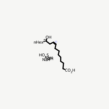 CCCCCC[C@@H](O)C/C=C\CCCCCCCC(=O)O.O=S(=O)(O)O.[NaH].[NaH]